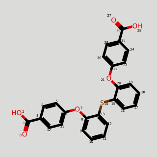 O=C(O)c1ccc(Oc2ccccc2Sc2ccccc2Oc2ccc(C(=O)O)cc2)cc1